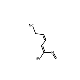 C=N/C(=C\C=C/CC#N)C(C)C